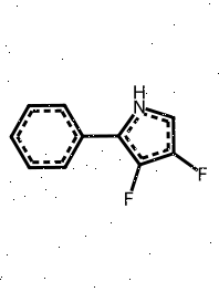 Fc1c[nH]c(-c2ccccc2)c1F